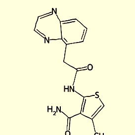 Cc1csc(NC(=O)Cc2cccc3nccnc23)c1C(N)=O